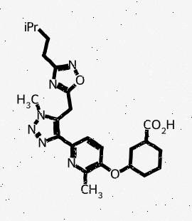 Cc1nc(-c2nnn(C)c2Cc2nc(CCC(C)C)no2)ccc1OC1CCCC(C(=O)O)C1